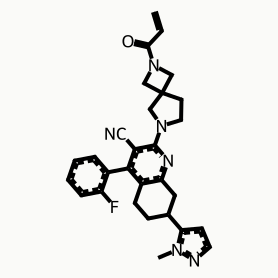 C=CC(=O)N1CC2(CCN(c3nc4c(c(-c5ccccc5F)c3C#N)CCC(c3ccnn3C)C4)C2)C1